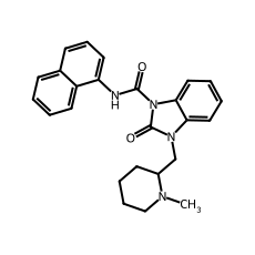 CN1CCCCC1Cn1c(=O)n(C(=O)Nc2cccc3ccccc23)c2ccccc21